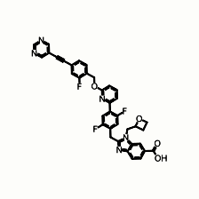 O=C(O)c1ccc2nc(Cc3cc(F)c(-c4cccc(OCc5ccc(C#Cc6cncnc6)cc5F)n4)cc3F)n(CC3CCO3)c2c1